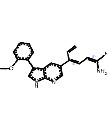 C=C/C(=C\C=C(/N)F)c1cnc2[nH]cc(-c3ccccc3OC)c2c1